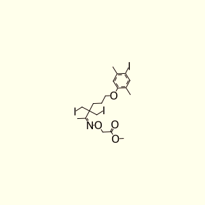 COC(=O)CO/N=C(/C)C(CI)(CI)CCCOc1cc(C)c(I)cc1C